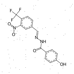 O=C(NN=Cc1ccc(C(F)(F)F)c([N+](=O)[O-])c1)c1ccc(O)cc1